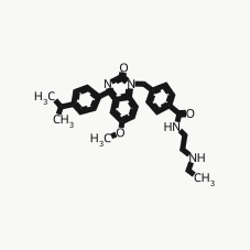 CCNCCNC(=O)c1ccc(Cn2c(=O)nc(-c3ccc(C(C)C)cc3)c3cc(OC)ccc32)cc1